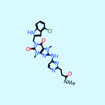 CNC(=O)CCc1nccc(Nc2nc3c(c(=O)n(Cc4cc5c(Cl)cccc5[nH]4)c(=O)n3C)n2C)n1